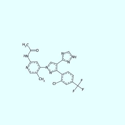 CC(=O)Nc1cc(-n2cc(-c3nc[nH]n3)c(-c3ccc(C(F)(F)F)cc3Cl)n2)c(C)cn1